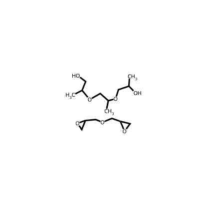 C(OCC1CO1)C1CO1.CC(O)COC(C)COC(C)CO